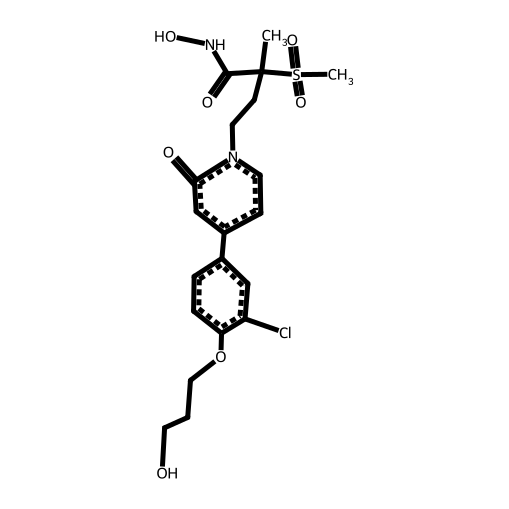 CC(CCn1ccc(-c2ccc(OCCCO)c(Cl)c2)cc1=O)(C(=O)NO)S(C)(=O)=O